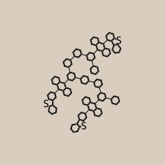 c1ccc(-c2cc(-c3cccc(-c4ccc(-c5cc(-c6cccc(-c7cccc(-c8cc(-c9ccccc9)cc(-c9c%10ccccc%10c(-c%10cccc%11sc%12ccccc%12c%10%11)c%10ccccc9%10)c8)c7)c6)cc(-c6c7ccccc7c(-c7ccc8sc9ccccc9c8c7)c7ccccc67)c5)cc4)c3)cc(-c3c4ccccc4c(-c4ccc5c(c4)sc4ccccc45)c4ccccc34)c2)cc1